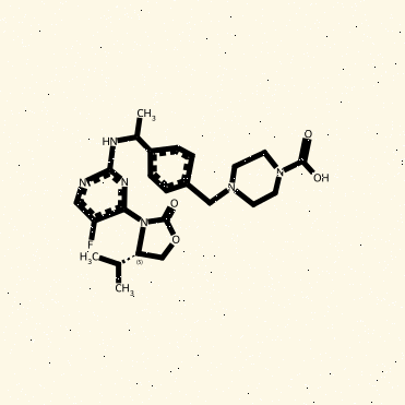 CC(Nc1ncc(F)c(N2C(=O)OC[C@@H]2C(C)C)n1)c1ccc(CN2CCN(C(=O)O)CC2)cc1